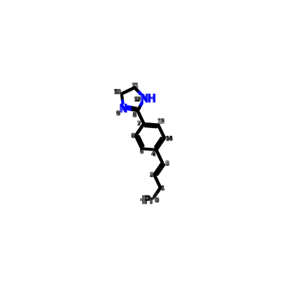 C[C](C)CC=Cc1ccc(C2=NCCN2)cc1